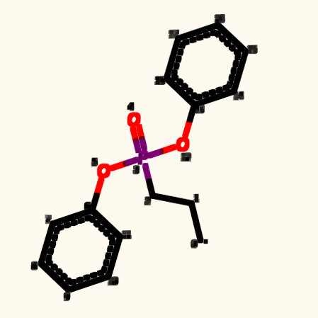 [CH2]CCP(=O)(Oc1ccccc1)Oc1ccccc1